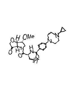 CO[C@@H]1CN(C(=O)[C@H](CC(C)C)NC(=O)c2ccc(N3CCN(C4CC4)CC3)cc2)[C@@H]2C(=O)CO[C@@H]21